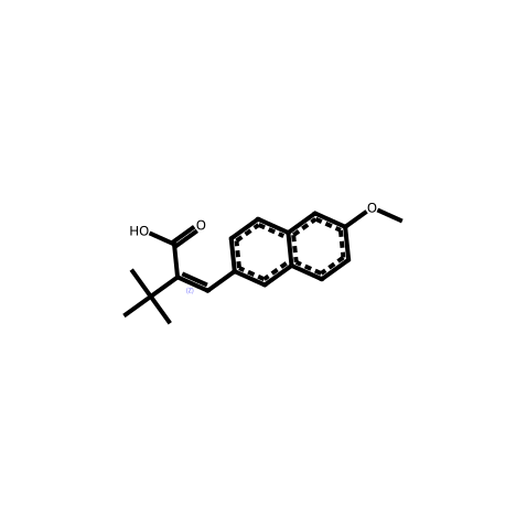 COc1ccc2cc(/C=C(\C(=O)O)C(C)(C)C)ccc2c1